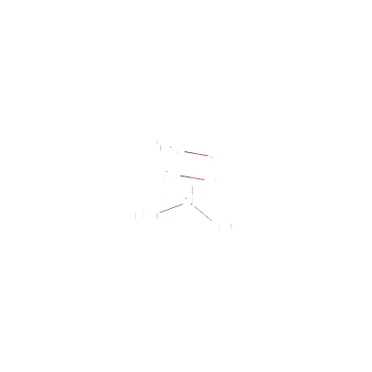 CC(=O)[O-].CC(=O)[O-].CCCCNCCCC.[Zn+2]